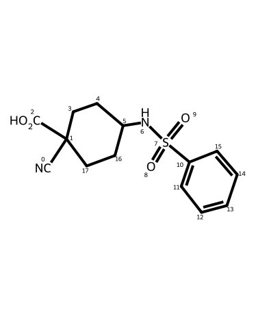 N#CC1(C(=O)O)CCC(NS(=O)(=O)c2ccccc2)CC1